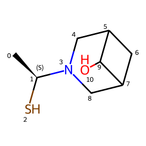 C[C@H](S)N1CC2CC(C1)C2O